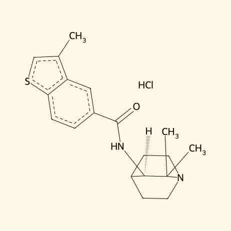 Cc1csc2ccc(C(=O)N[C@@H]3C4CCN(CC4)C3(C)C)cc12.Cl